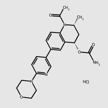 CC(=O)N1c2ccc(-c3ccc(N4CCOCC4)nc3)cc2[C@@H](OC(N)=O)C[C@H]1C.Cl